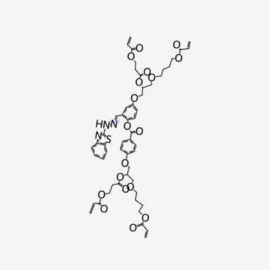 C=CC(=O)OCCCCOCC(COc1ccc(C(=O)Oc2ccc(OCC(COCCCCOC(=O)C=C)OC(=O)CCOC(=O)C=C)cc2/C=N/Nc2nc3ccccc3s2)cc1)OC(=O)CCOC(=O)C=C